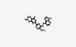 Cc1cc(-c2cnc(N)c(OCc3ccnc4[nH]cnc34)n2)cc2c1CCN(C)C2